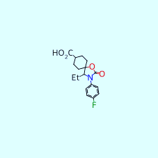 CCC1N(c2ccc(F)cc2)C(=O)OC12CCC(C(=O)O)CC2